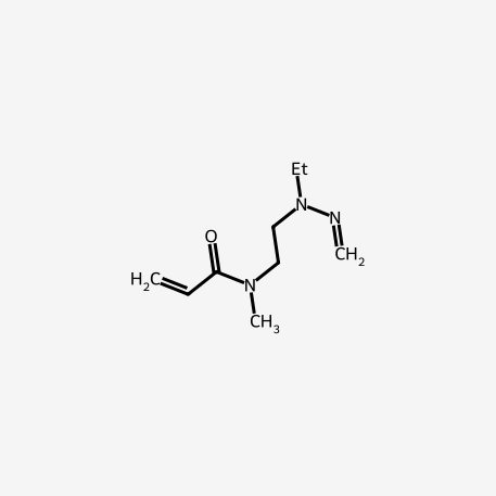 C=CC(=O)N(C)CCN(CC)N=C